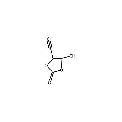 C#CC1OC(=O)OC1C